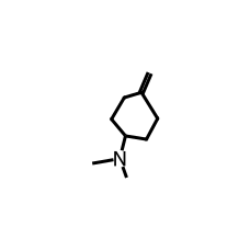 C=C1CCC(N(C)C)CC1